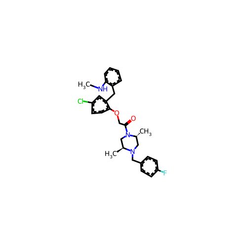 CNc1ccccc1Cc1cc(Cl)ccc1OCC(=O)N1C[C@H](C)N(Cc2ccc(F)cc2)C[C@H]1C